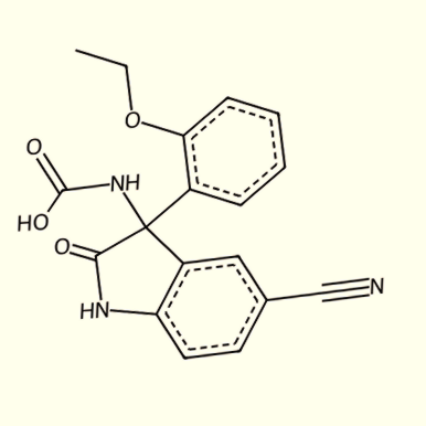 CCOc1ccccc1C1(NC(=O)O)C(=O)Nc2ccc(C#N)cc21